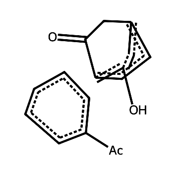 CC(=O)c1ccccc1.O=C1Cc2ccc1c(O)c2